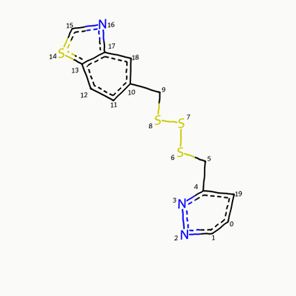 c1cnnc(CSSSCc2ccc3scnc3c2)c1